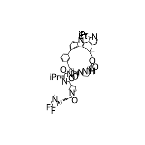 CCn1c(-c2cccnc2C(C)C)c2c3cc(ccc31)-c1cccc(c1)C[C@H](NC(=O)[C@H](C(C)C)N(C)C(=O)C1CCN(C(=O)C#C[C@@H]3CC(F)(F)CN3C)C1)C(=O)N1CCC[C@H](N1)C(=O)OCC(C)(C)C2